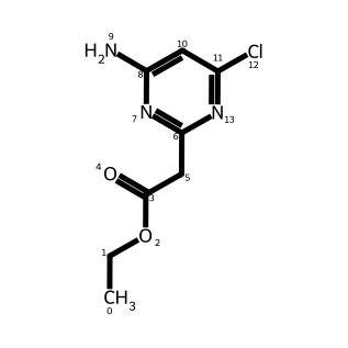 CCOC(=O)Cc1nc(N)cc(Cl)n1